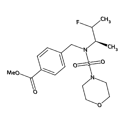 COC(=O)c1ccc(CN([C@H](C)C(C)F)S(=O)(=O)N2CCOCC2)cc1